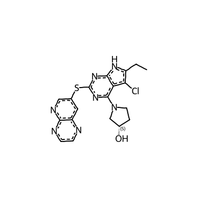 CCc1[nH]c2nc(Sc3cnc4nccnc4c3)nc(N3CC[C@H](O)C3)c2c1Cl